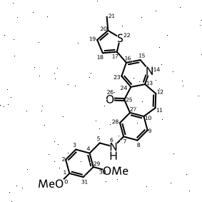 COc1ccc(CNc2ccc3ccc4ncc(-c5ccc(C)s5)cc4c(=O)c3c2)c(OC)c1